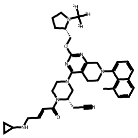 [2H]C([2H])([2H])N1CCC[C@H]1COc1nc2c(c(N3CCN(C(=O)/C=C/CNC4CC4)[C@@H](CC#N)C3)n1)CCN(c1cccc3cccc(C)c13)C2